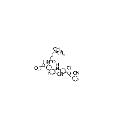 CN(C)CC=CC(=O)Nc1cc2c(Nc3ccc(OCc4ccccc4C#N)c(Cl)c3)c(C#N)cnc2cc1OC1CCOC1